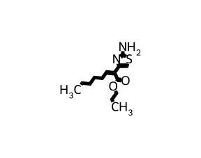 CCCCCC=C(C(=O)OCCC)c1csc(N)n1